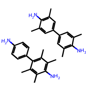 Cc1c(C)c(-c2ccc(N)cc2)c(C)c(C)c1N.Cc1cc(-c2cc(C)c(N)c(C)c2)cc(C)c1N